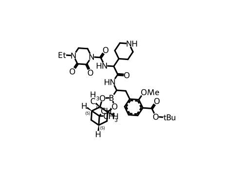 CCN1CCN(C(=O)NC(C(=O)NC(Cc2cccc(C(=O)OC(C)(C)C)c2OC)B2O[C@@H]3C[C@@H]4C[C@@H](C4(C)C)[C@]3(C)O2)C2CCNCC2)C(=O)C1=O